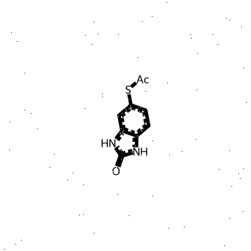 CC(=O)Sc1ccc2[nH]c(=O)[nH]c2c1